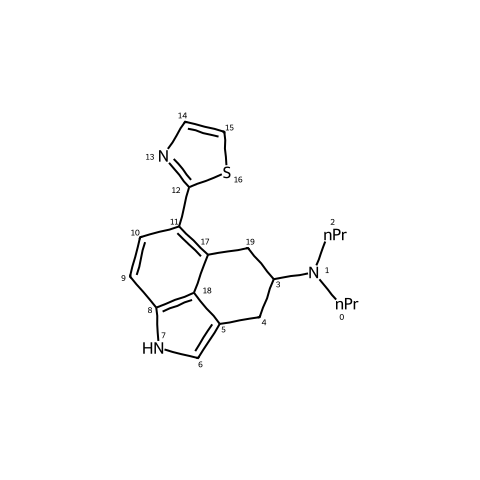 CCCN(CCC)C1Cc2c[nH]c3ccc(-c4nccs4)c(c23)C1